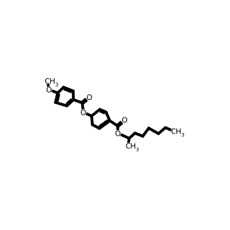 CCCCCCC(C)OC(=O)C1=CCC(OC(=O)c2ccc(OC)cc2)C=C1